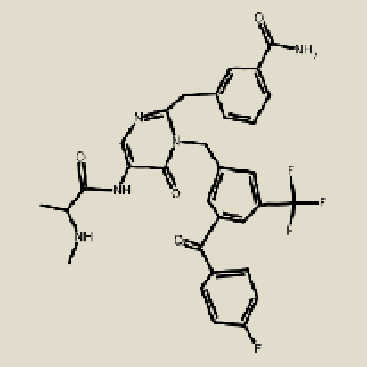 CNC(C)C(=O)Nc1cnc(Cc2cccc(C(N)=O)c2)n(Cc2cc(C(=O)c3ccc(F)cc3)cc(C(F)(F)F)c2)c1=O